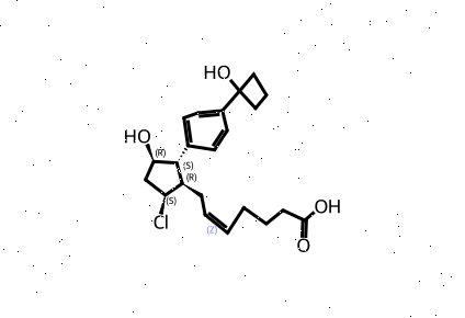 O=C(O)CCC/C=C\C[C@@H]1[C@@H](c2ccc(C3(O)CCC3)cc2)[C@H](O)C[C@@H]1Cl